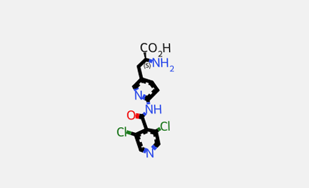 N[C@@H](Cc1ccc(NC(=O)c2c(Cl)cncc2Cl)nc1)C(=O)O